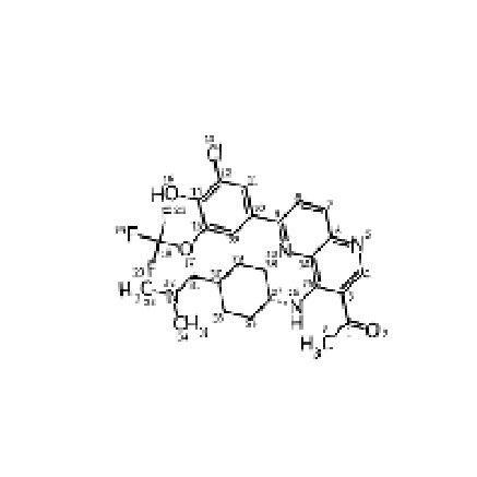 CC(=O)c1cnc2ccc(-c3cc(Cl)c(O)c(OC(F)(F)F)c3)nc2c1N[C@H]1CC[C@H](CN(C)C)CC1